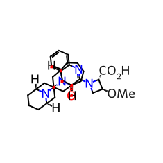 CO[C@H]1CN(c2nc3ccccc3n([C@H]3C[C@H]4CCC[C@@H](C3)N4[C@@H]3C[C@@H]4CCCC[C@@H](C4)C3)c2=O)[C@@H]1C(=O)O